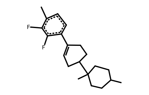 Cc1ccc(C2=CCC(C3(C)CCC(C)CC3)CC2)c(F)c1F